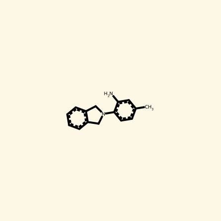 Cc1ccc(N2Cc3ccccc3C2)c(N)c1